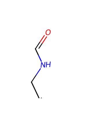 [CH2]CNC=O